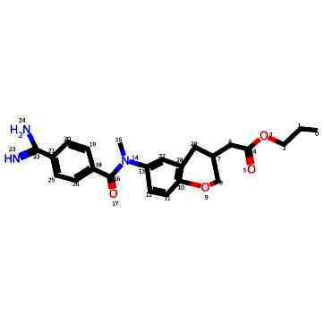 CCCOC(=O)CC1COc2ccc(N(C)C(=O)c3ccc(C(=N)N)cc3)cc2C1